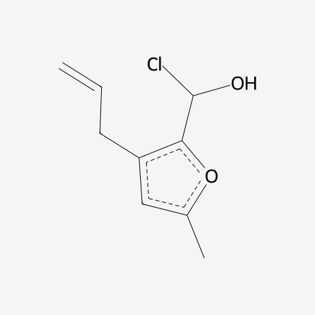 C=CCc1cc(C)oc1C(O)Cl